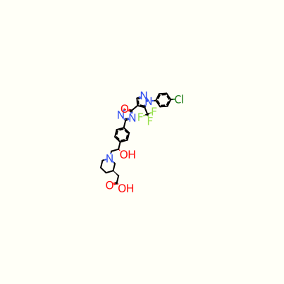 O=C(O)C[C@H]1CCCN(C[C@@H](O)c2ccc(-c3noc(-c4cnn(-c5ccc(Cl)cc5)c4C(F)(F)F)n3)cc2)C1